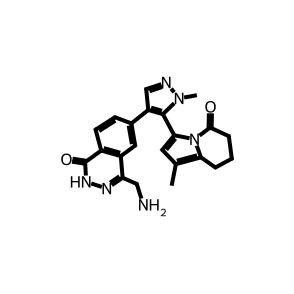 Cc1cc(-c2c(-c3ccc4c(=O)[nH]nc(CN)c4c3)cnn2C)n2c1CCCC2=O